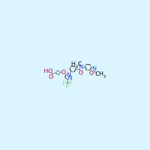 Cc1nc2ccc(N(C)C(=O)c3cccc(-n4nc(C(F)(F)F)cc4OC4CC(C(=O)O)C4)c3)cc2o1